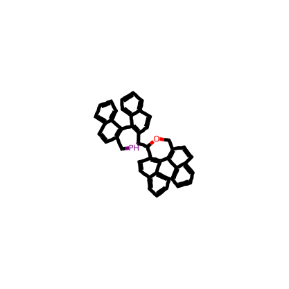 c1ccc2c3c(ccc2c1)COC(C1PCc2ccc4ccccc4c2-c2c1ccc1ccccc21)c1ccc2ccccc2c1-3